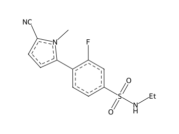 CCNS(=O)(=O)c1ccc(-c2ccc(C#N)n2C)c(F)c1